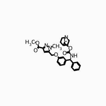 COC(=O)c1cc(COc2cccc([C@@H](NC(=O)OC3CN4CCC3CC4)c3ccccc3)c2)n(C)n1